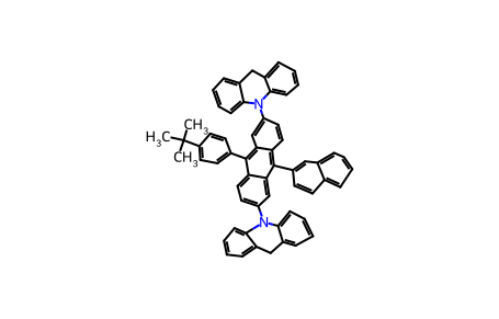 CC(C)(C)c1ccc(-c2c3ccc(N4c5ccccc5Cc5ccccc54)cc3c(-c3ccc4ccccc4c3)c3ccc(N4c5ccccc5Cc5ccccc54)cc23)cc1